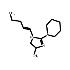 CCCC=C[SH]1CC(C)N=C1N1CCCCC1